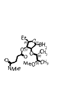 B[C@@H]1O[C@H](CC)[C@H](OC(=O)CCC(=O)NC)C1O[C@H](C)[C@@H](C)OC